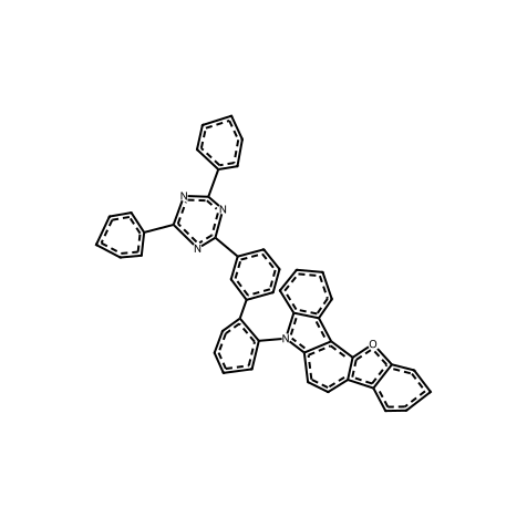 c1ccc(-c2nc(-c3ccccc3)nc(-c3cccc(-c4ccccc4-n4c5ccccc5c5c6oc7ccccc7c6ccc54)c3)n2)cc1